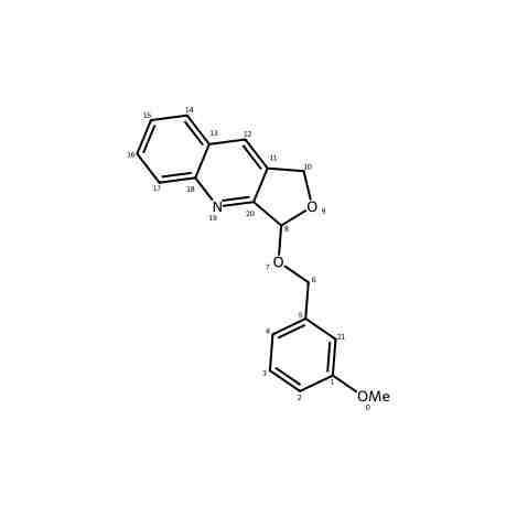 COc1cccc(COC2OCc3cc4ccccc4nc32)c1